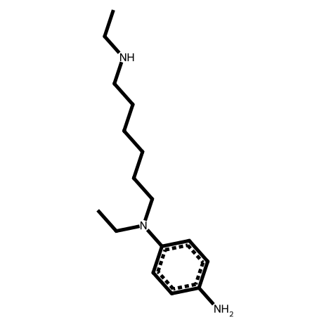 CCNCCCCCCN(CC)c1ccc(N)cc1